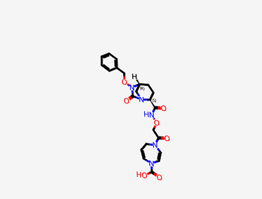 O=C(NOCC(=O)N1C=CN(C(=O)O)C=CC1)[C@@H]1CC[C@@H]2CN1C(=O)N2OCc1ccccc1